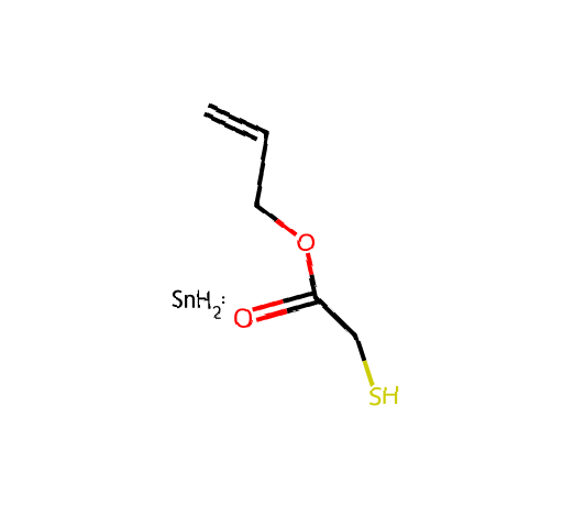 C=CCOC(=O)CS.[SnH2]